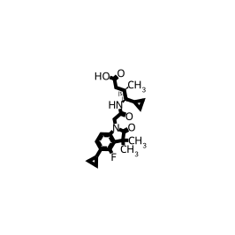 C[C@@H](CC(=O)O)[C@H](NC(=O)CN1C(=O)C(C)(C)c2c1ccc(C1CC1)c2F)C1CC1